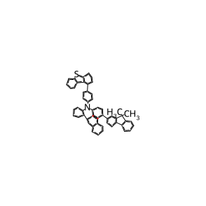 CC1(C)c2ccccc2-c2ccc(-c3ccc(N(c4ccc(-c5cccc6sc7ccccc7c56)cc4)c4ccccc4-c4ccc5ccccc5c4)cc3)cc21